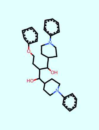 OC(C1CCN(c2ccccc2)CC1)C(CCOc1ccccc1)C(O)C1CCN(c2ccccc2)CC1